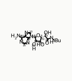 CCC(C)NC(=O)C(O)[C@H]1O[C@@H](n2cnc3c(N)ncnc32)[C@H](O)[C@@H]1O